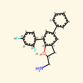 NCC1Cc2cc(-c3ccccc3)cc(-c3ccc(F)cc3F)c2O1